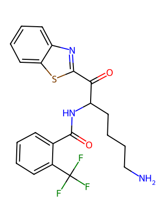 NCCCCC(NC(=O)c1ccccc1C(F)(F)F)C(=O)c1nc2ccccc2s1